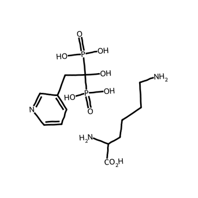 NCCCCC(N)C(=O)O.O=P(O)(O)C(O)(Cc1cccnc1)P(=O)(O)O